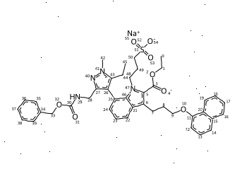 CCOC(=O)c1c(CCCOc2cccc3ccccc23)c2cccc(-c3c(CNC(=O)OCc4ccccc4)nn(C)c3CC)c2n1CCCS(=O)(=O)[O-].[Na+]